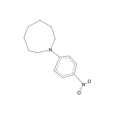 O=[N+]([O-])c1ccc(N2CCCCCCC2)cc1